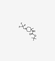 CC1(NC(=O)OC(C)(C)C)CCN(CC(F)(F)F)CC1